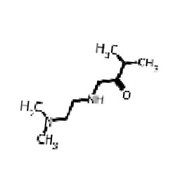 CC(C)C(=O)CNCCN(C)C